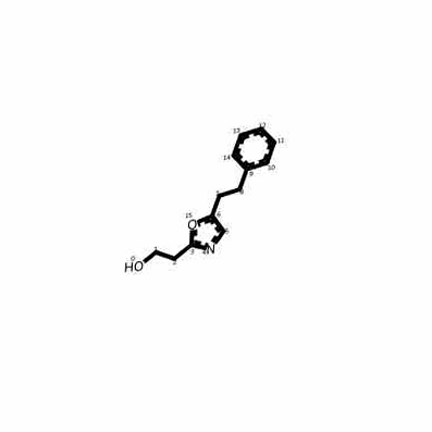 OCCc1ncc(CCc2ccccc2)o1